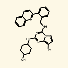 CC(C)c1cnn2c(NCc3ccccc3-c3ccc4ccccc4n3)nc(NC3CCC(O)CC3)nc12